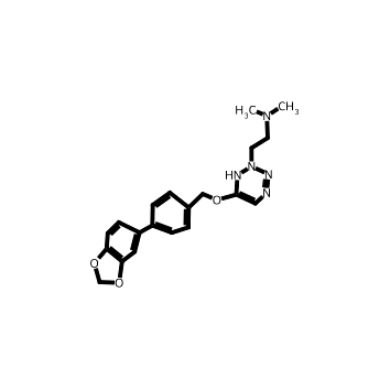 CN(C)CCN1N=NC=C(OCc2ccc(-c3ccc4c(c3)OCO4)cc2)N1